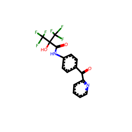 O=C(c1ccc(NC(=O)C(O)(C(F)(F)F)C(F)(F)F)cc1)c1ccccn1